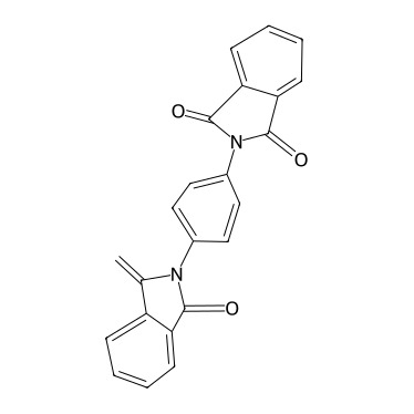 C=C1c2ccccc2C(=O)N1c1ccc(N2C(=O)c3ccccc3C2=O)cc1